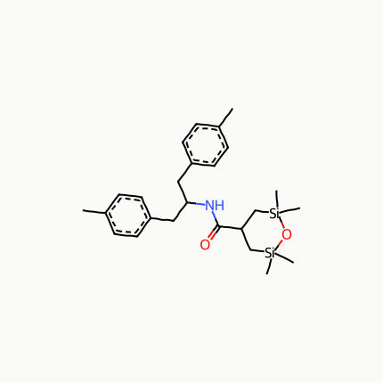 Cc1ccc(CC(Cc2ccc(C)cc2)NC(=O)C2C[Si](C)(C)O[Si](C)(C)C2)cc1